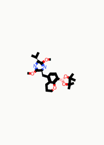 COC1=N[C@H](C(C)C)C(OC)=N[C@H]1Cc1ccc(B2OC(C)(C)C(C)(C)O2)c2c1CCCO2